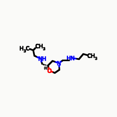 CCCNCCN1CCO[C@H](CNCC(C)C)C1